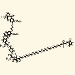 COc1cc2c(cc1OCCCOc1cc(/N=C\C3Cc4ccc(N(C)C(=O)OCc5ccc(NC(=O)[C@H](C)NC(=O)[C@@H](NC(=O)CCOCCOCCOCCOCCOCCOCCOCCOCCCNC(=O)CCN6C(=O)C=CC6=O)C(C)C)cc5)cc4CN3)c(C(C)=O)cc1OC)N=C[C@]1(C)CCCN1C2=O